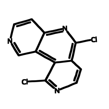 Clc1nc2ccncc2c2c(Cl)nccc12